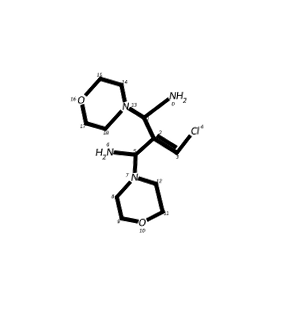 NC(C(=CCl)C(N)N1CCOCC1)N1CCOCC1